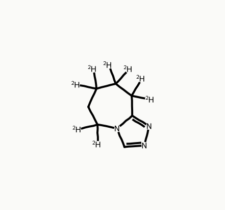 [2H]C1([2H])CC([2H])([2H])C([2H])([2H])C([2H])([2H])c2nncn21